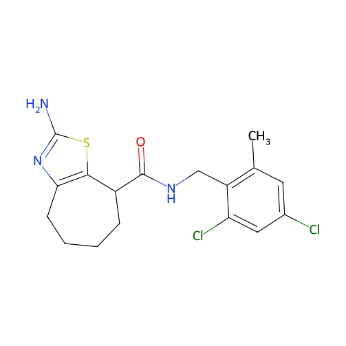 Cc1cc(Cl)cc(Cl)c1CNC(=O)C1CCCCc2nc(N)sc21